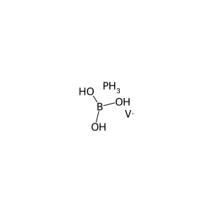 OB(O)O.P.[V]